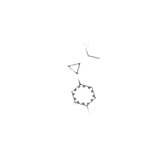 CC(N)[C@H]1C[C@@H]1c1ccc(F)cc1